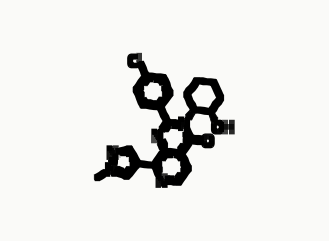 Cn1cc(-c2nccc3c(=O)n([C@H]4CCCC[C@H]4O)c(-c4ccc(Cl)cc4)nc23)cn1